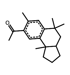 CC(=O)c1cc2c(cc1C)C(C)(C)CC1CCCC21C